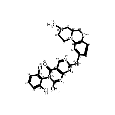 Cc1nc2nc(Nc3ccc4c(c3)N3CCN(C)CC3CO4)ncc2c(=O)n1-c1c(Cl)cccc1Cl